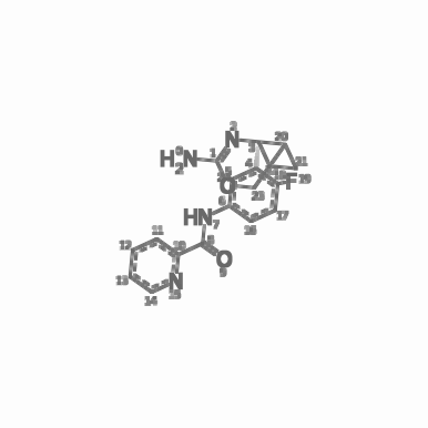 NC1=N[C@@]2(c3cc(NC(=O)c4ccccn4)ccc3F)C3CC32CO1